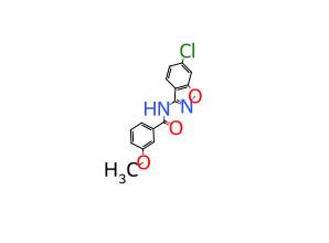 COc1cccc(C(=O)Nc2noc3cc(Cl)ccc23)c1